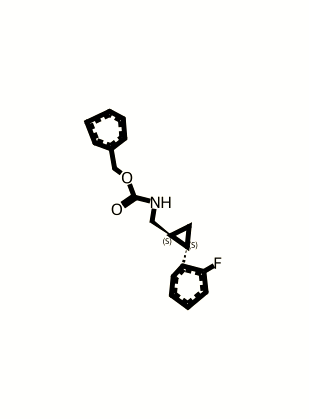 O=C(NC[C@H]1C[C@@H]1c1ccccc1F)OCc1ccccc1